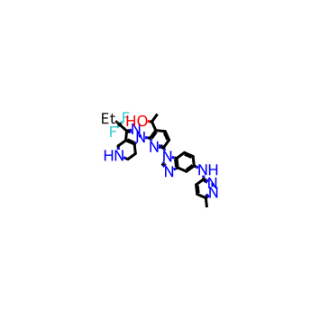 CCC(F)(F)c1nn(-c2nc(-n3cnc4cc(Nc5ccc(C)nn5)ccc43)ccc2C(C)O)c2c1CNCC2